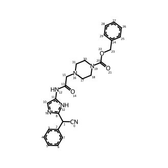 N#CC(c1ccccc1)c1ncc(NC(=O)CN2CCN(C(=O)OCc3ccccc3)CC2)[nH]1